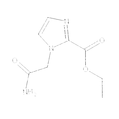 CCOC(=O)c1nccn1CC(N)=O